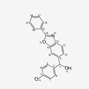 OC(c1ccc(Cl)cc1)c1ccc2nc(-c3ccccc3)oc2c1